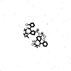 CC1(C)N=C(c2ccccc2Cl)c2cc([N+](=O)[O-])ccc2NC1=O.Cc1nnc2n1-c1ccc([N+](=O)[O-])cc1C(c1ccccc1Cl)=NC2(C)C